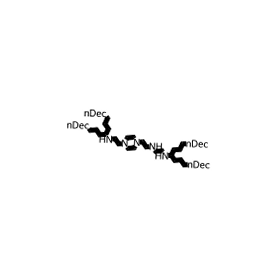 CCCCCCCCCCCCCC(CCCCCCCCCCCCC)NCCNCCN1CCN(CCNC(CCCCCCCCCCCCC)CCCCCCCCCCCCC)CC1